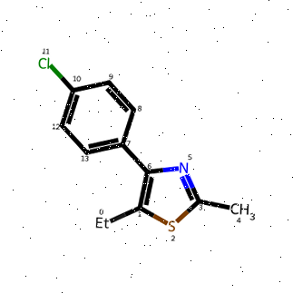 CCc1sc(C)nc1-c1ccc(Cl)cc1